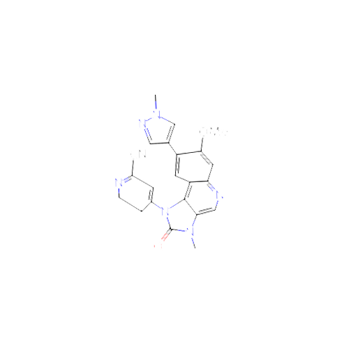 COc1cc2ncc3c(c2cc1-c1cnn(C)c1)n(C1=CC(C#N)=NCC1)c(=O)n3C